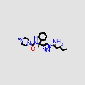 CCCC[C@@H](N)n1cc([C@@](C)(NC(=O)N2CCN(C)CC2)C2CCCCC2)nn1